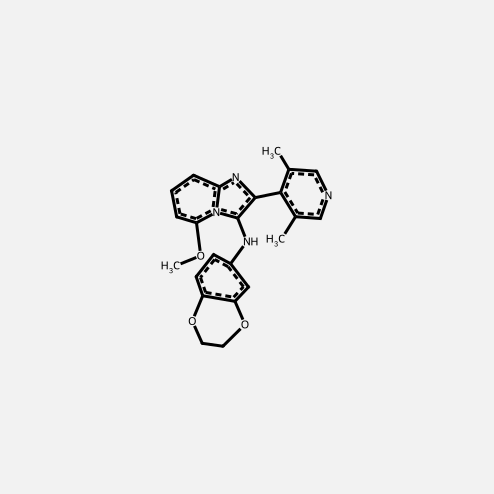 COc1cccc2nc(-c3c(C)cncc3C)c(Nc3ccc4c(c3)OCCO4)n12